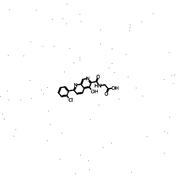 O=C(O)CNC(=O)c1ncc2nc(-c3ccccc3Cl)ccc2c1O